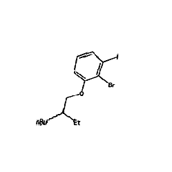 CCCCC(CC)COc1cccc(I)c1Br